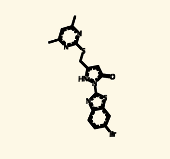 Cc1cc(C)nc(SCc2cc(=O)n(-c3nc4ccc(Br)cc4s3)[nH]2)n1